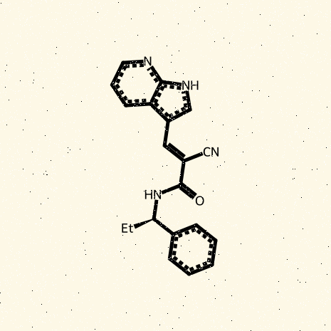 CC[C@@H](NC(=O)/C(C#N)=C/c1c[nH]c2ncccc12)c1ccccc1